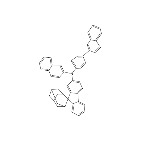 c1ccc2c(c1)-c1ccc(N(c3ccc(-c4ccc5ccccc5c4)cc3)c3ccc4ccccc4c3)cc1C21C2CC3CC(C2)CC1C3